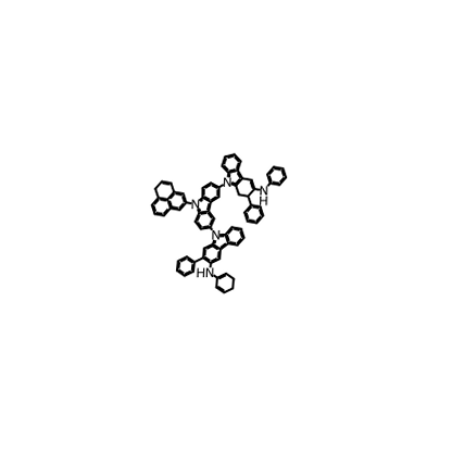 C1=CC(Nc2cc3c4ccccc4n(-c4ccc5c(c4)c4cc(-n6c7c(c8ccccc86)C=C(Nc6ccccc6)C(c6ccccc6)C7)ccc4n5-c4cc5c6c(cccc6c4)CC=C5)c3cc2-c2ccccc2)=CCC1